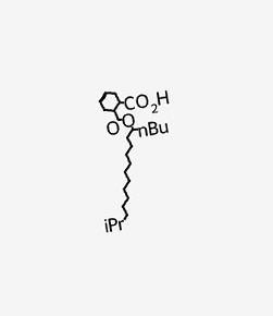 CCCCC(CCCCCCCCCCC(C)C)OC(=O)C1CC=CCC1C(=O)O